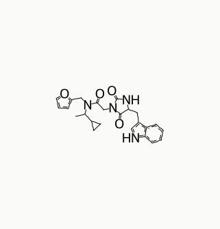 CC(C1CC1)N(Cc1ccco1)C(=O)CN1C(=O)NC(Cc2c[nH]c3ccccc23)C1=O